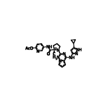 CC(=O)Oc1ccc(NC(=O)[C@]2(C)CCCN2c2nc(Nc3cc(C4CC4)[nH]n3)c3cccn3n2)cn1